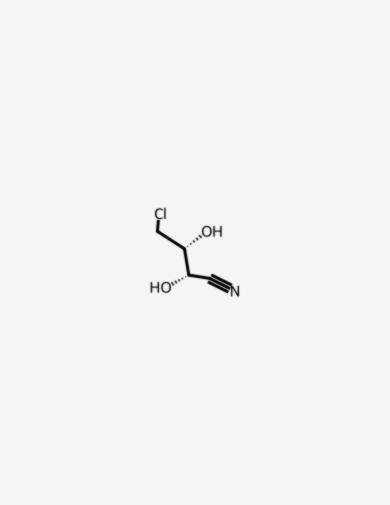 N#C[C@H](O)[C@@H](O)CCl